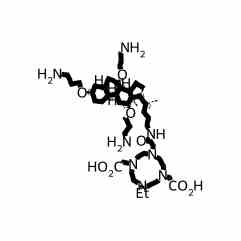 CCN1CCN(CC(=O)O)CCN(CC(=O)NCCC[C@@H](C)[C@H]2CC[C@H]3[C@@H]4[C@H](OCCCN)C[C@@H]5C[C@H](OCCCN)CC[C@]5(C)[C@H]4C[C@H](OCCCN)[C@]23C)CCN(CC(=O)O)CC1